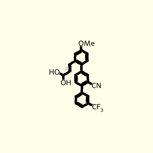 COc1ccc(-c2ccc(-c3cccc(C(F)(F)F)c3)c(C#N)c2)c(/C=C/C(O)O)c1